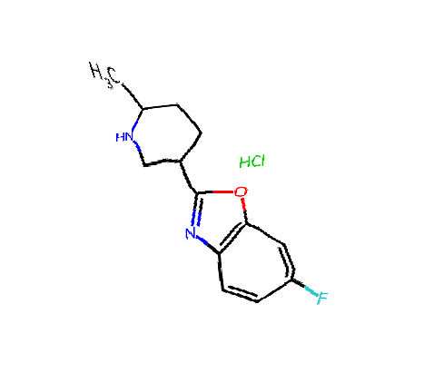 CC1CCC(c2nc3ccc(F)cc3o2)CN1.Cl